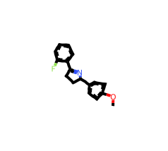 COc1ccc(C2CCC(c3ccccc3F)=N2)cc1